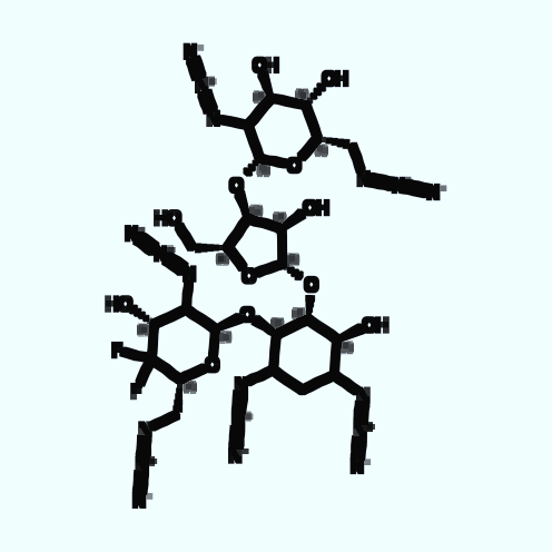 [N-]=[N+]=NC[C@@H]1O[C@H](O[C@H]2[C@@H](O)[C@H](O[C@H]3[C@H](O[C@H]4O[C@H](CN=[N+]=[N-])C(F)(F)[C@H](O)C4N=[N+]=[N-])C(N=[N+]=[N-])CC(N=[N+]=[N-])[C@@H]3O)O[C@@H]2CO)C(N=[N+]=[N-])[C@@H](O)[C@@H]1O